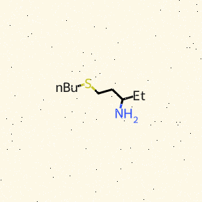 CCCCSCCC(N)CC